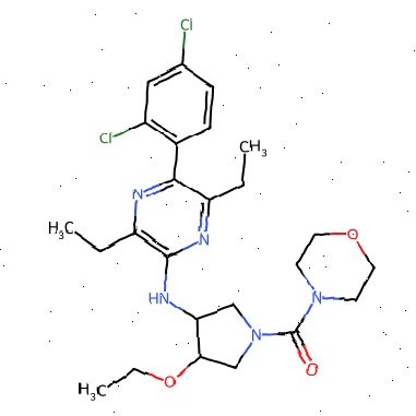 CCOC1CN(C(=O)N2CCOCC2)CC1Nc1nc(CC)c(-c2ccc(Cl)cc2Cl)nc1CC